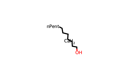 CCCCCCCCCCCCO.[CaH2]